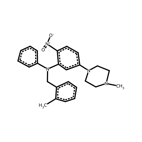 Cc1ccccc1CN(c1ccccc1)c1cc(N2CCN(C)CC2)ccc1[N+](=O)[O-]